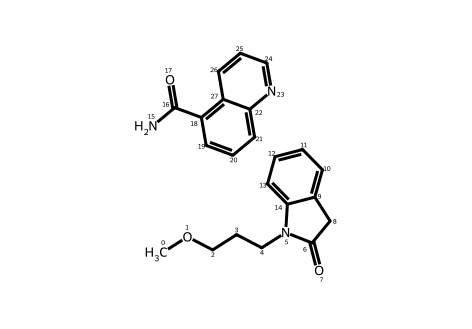 COCCCN1C(=O)Cc2ccccc21.NC(=O)c1cccc2ncccc12